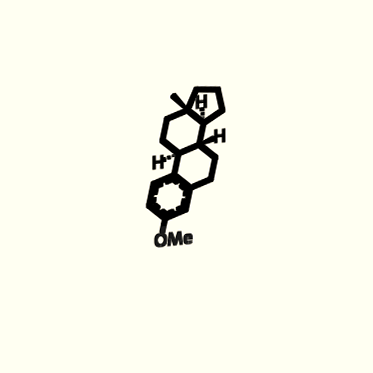 COc1ccc2c(c1)CC[C@@H]1[C@@H]2CC[C@]2(C)CCC[C@@H]12